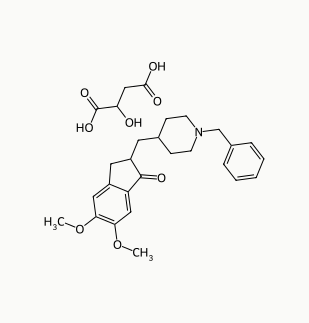 COc1cc2c(cc1OC)C(=O)C(CC1CCN(Cc3ccccc3)CC1)C2.O=C(O)CC(O)C(=O)O